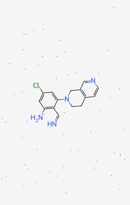 N=Cc1c(N)cc(Cl)cc1N1CCc2ccncc2C1